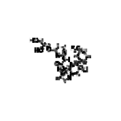 O=C(Nc1nccc(OCC(O)CO)n1)N1c2nc(-c3cccc(C(F)(F)F)c3)c(Cl)cc2N2CC[C@H]1C2